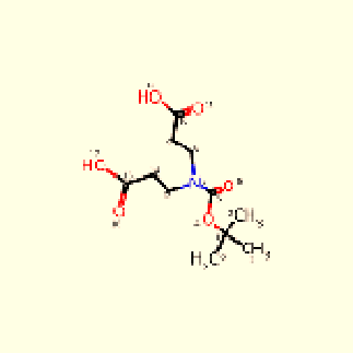 CC(C)(C)OC(=O)N(CCC(=O)O)CCC(=O)O